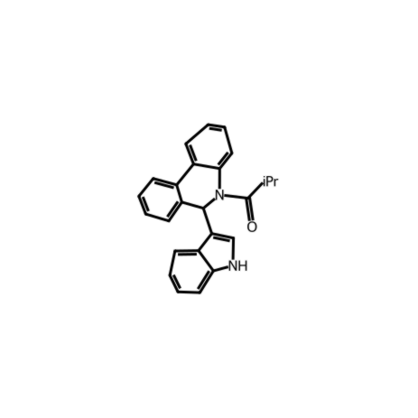 CC(C)C(=O)N1c2ccccc2-c2ccccc2C1c1c[nH]c2ccccc12